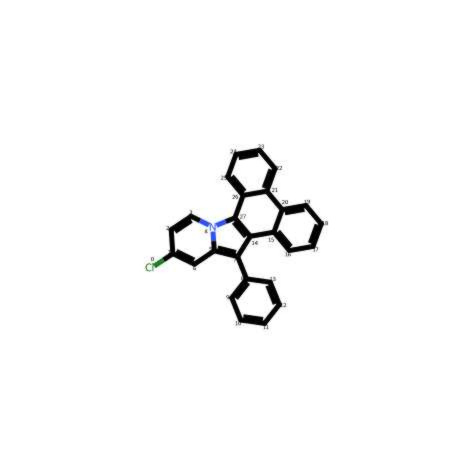 Clc1ccn2c(c1)c(-c1ccccc1)c1c3ccccc3c3ccccc3c12